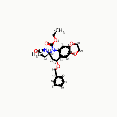 CCOC(=O)N1c2cc3c(cc2[C@@H](OCc2ccccc2)C[C@]1(CC)N=C=O)OCCO3